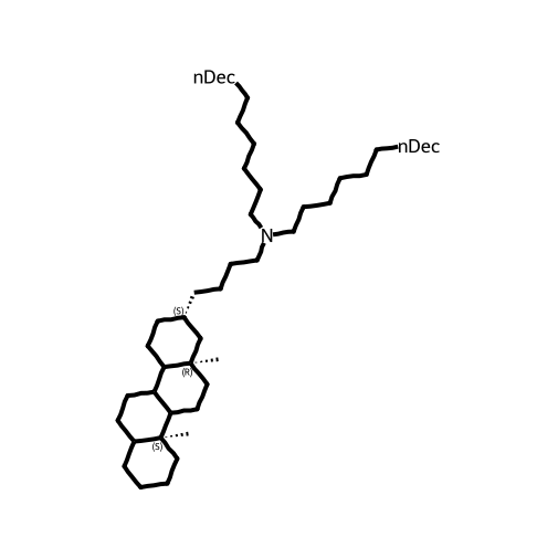 CCCCCCCCCCCCCCCCN(CCCCCCCCCCCCCCCC)CCCC[C@H]1CCC2C3CCC4CCCC[C@]4(C)C3CC[C@]2(C)C1